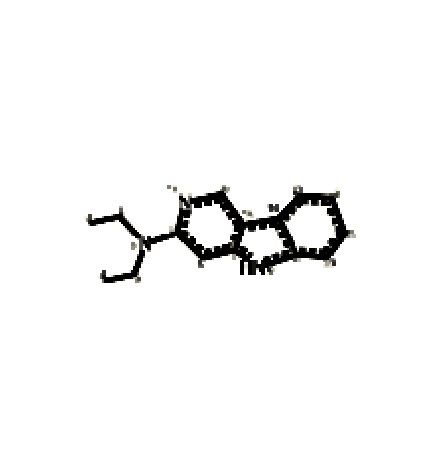 CCN(CC)c1cc2[nH]c3ccccc3c2cn1